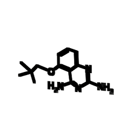 CC(C)(C)COc1cccc2nc(N)nc(N)c12